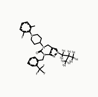 [2H]C([2H])([2H])C([2H])(C([2H])([2H])[2H])C([2H])([2H])n1cc2c(n1)N(Cc1ccccc1C(F)(F)F)C(=O)N(C1CCN(c3c(C)cccc3F)CC1)C2